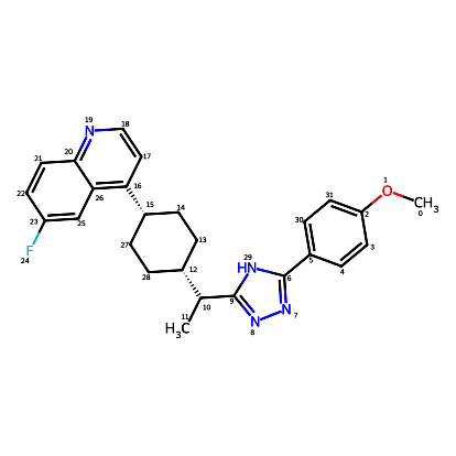 COc1ccc(-c2nnc(C(C)[C@H]3CC[C@@H](c4ccnc5ccc(F)cc54)CC3)[nH]2)cc1